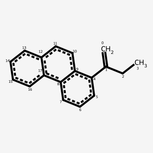 C=C(CC)c1cccc2c1ccc1ccccc12